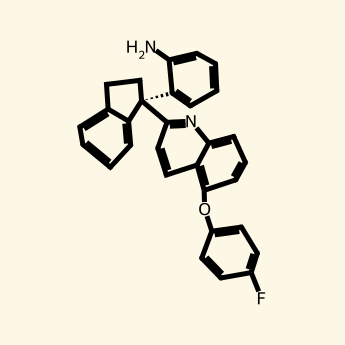 Nc1ccccc1[C@@]1(c2ccc3c(Oc4ccc(F)cc4)cccc3n2)CCc2ccccc21